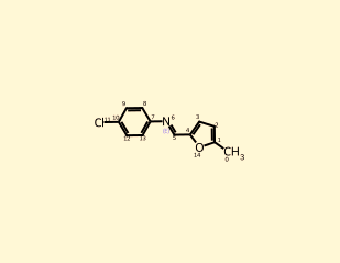 Cc1ccc(/C=N/c2ccc(Cl)cc2)o1